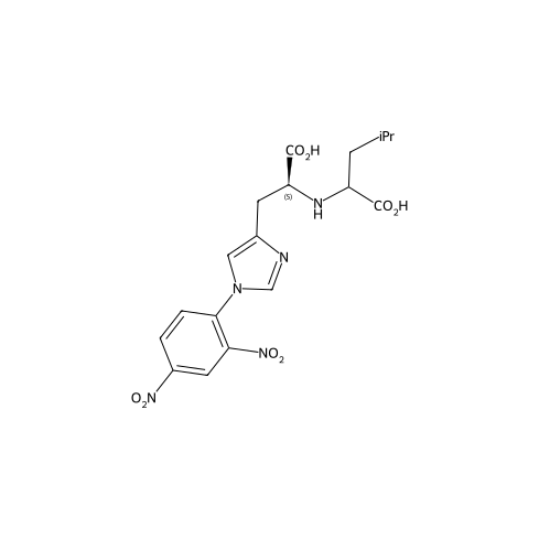 CC(C)CC(N[C@@H](Cc1cn(-c2ccc([N+](=O)[O-])cc2[N+](=O)[O-])cn1)C(=O)O)C(=O)O